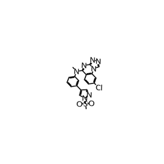 CN(c1cccc(-c2cnn(S(C)(=O)=O)c2)c1)c1nc2nncn2c2cc(Cl)ccc12